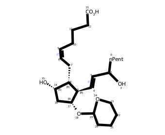 CCCCCC(O)/C=C/[C@@H]1[C@@H](C/C=C\CCCC(=O)O)[C@@H](O)C[C@H]1OC1CCCCO1